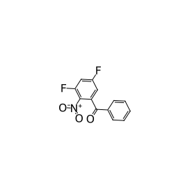 O=C(c1ccccc1)c1cc(F)cc(F)c1[N+](=O)[O-]